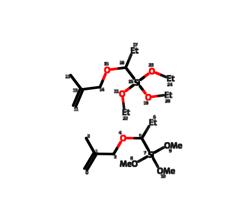 C=C(C)COC(CC)[Si](OC)(OC)OC.C=C(C)COC(CC)[Si](OCC)(OCC)OCC